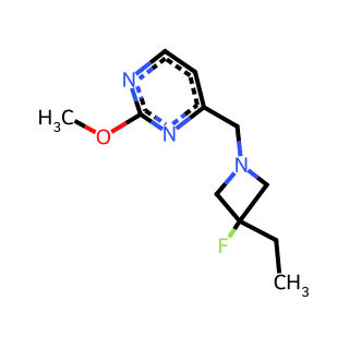 CCC1(F)CN(Cc2ccnc(OC)n2)C1